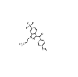 C=CCn1nc(C(=O)c2ccc(C)cc2)c2ccc(C(F)(F)F)cc21